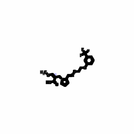 CO/C=C(/Cn1cccc1C=NOCCOc1cccc(C(F)(F)F)c1)C(=O)O